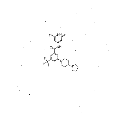 C=C/C=C(\C=C(/N)Cl)NC(=O)c1cc(N2CCC(N3CCCC3)CC2)cc(C(F)(F)F)c1